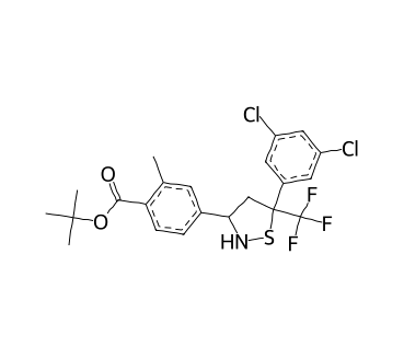 Cc1cc(C2CC(c3cc(Cl)cc(Cl)c3)(C(F)(F)F)SN2)ccc1C(=O)OC(C)(C)C